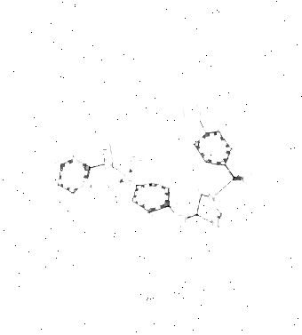 O=C(c1ccc(O)cc1)N1C=NC(Oc2ccc(S(=O)(=O)Nc3ncccn3)cc2)C1